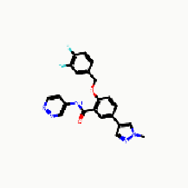 Cn1cc(-c2ccc(OCc3ccc(F)c(F)c3)c(C(=O)Nc3ccnnc3)c2)cn1